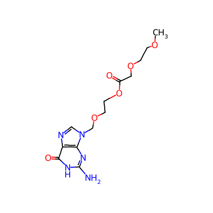 COCCOCC(=O)OCCOCn1cnc2c(=O)[nH]c(N)nc21